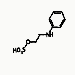 O=S(=O)(O)OC[CH]Nc1ccccc1